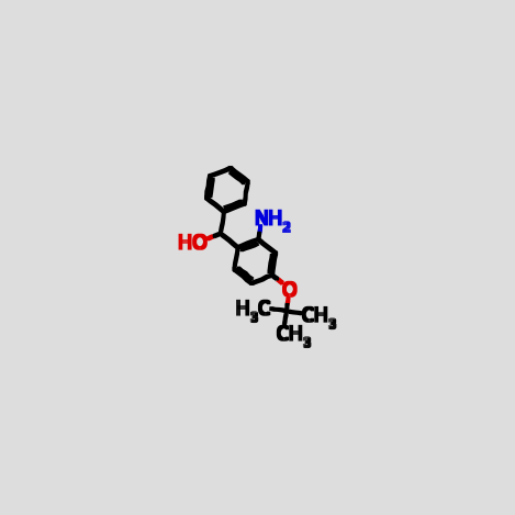 CC(C)(C)Oc1ccc(C(O)c2ccccc2)c(N)c1